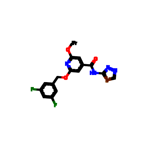 CC(C)Oc1cc(C(=O)Nc2nncs2)cc(OCc2cc(F)cc(F)c2)n1